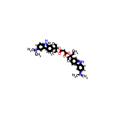 CCC(CC)(OC(=O)CC(=O)OC(CC)(CC)c1ccc2c(c1)[nH]c1ccc(N(C)C)cc12)c1ccc2c(c1)[nH]c1ccc(N(C)C)cc12